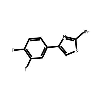 CC(C)c1nc(-c2ccc(F)c(F)c2)cs1